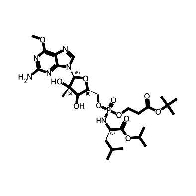 COc1nc(N)nc2c1ncn2[C@@H]1O[C@H](COP(=O)(N[C@@H](CC(C)C)C(=O)OC(C)C)OCCC(=O)OC(C)(C)C)C(O)[C@]1(C)O